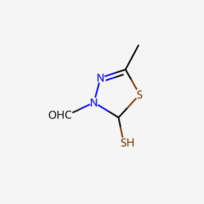 CC1=NN(C=O)C(S)S1